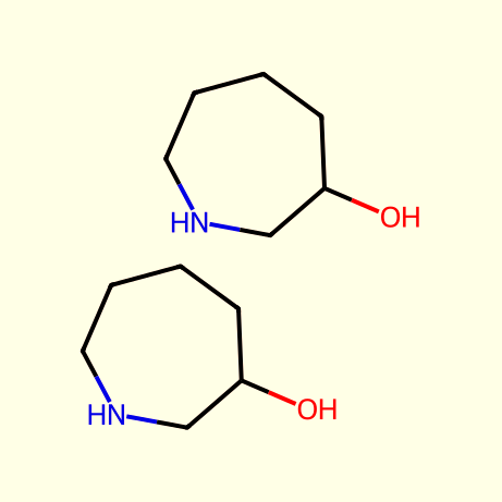 OC1CCCCNC1.OC1CCCCNC1